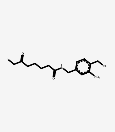 O=C(CI)CCCCC(=O)NCc1ccc(CO)c([N+](=O)[O-])c1